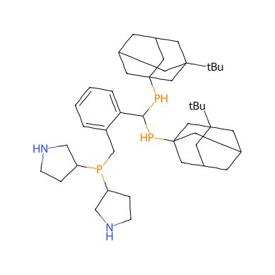 CC(C)(C)C12CC3CC(CC(PC(PC45CC6CC(C4)CC(C(C)(C)C)(C6)C5)c4ccccc4CP(C4CCNC4)C4CCNC4)(C3)C1)C2